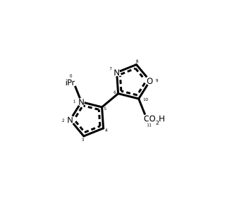 CC(C)n1nccc1-c1ncoc1C(=O)O